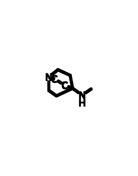 CNC12CCN(CC1)CC2